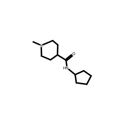 CN1CCC(C(=O)NC2CCCC2)CC1